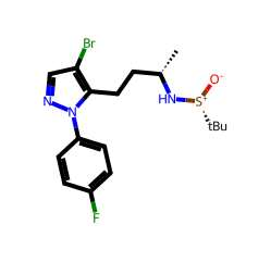 C[C@@H](CCc1c(Br)cnn1-c1ccc(F)cc1)N[S@+]([O-])C(C)(C)C